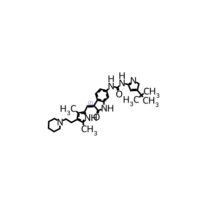 Cc1[nH]c(/C=C2\C(=O)Nc3cc(NC(=O)NC4=NCC(C(C)(C)C)=C4)ccc32)c(C)c1CCN1CCCCC1